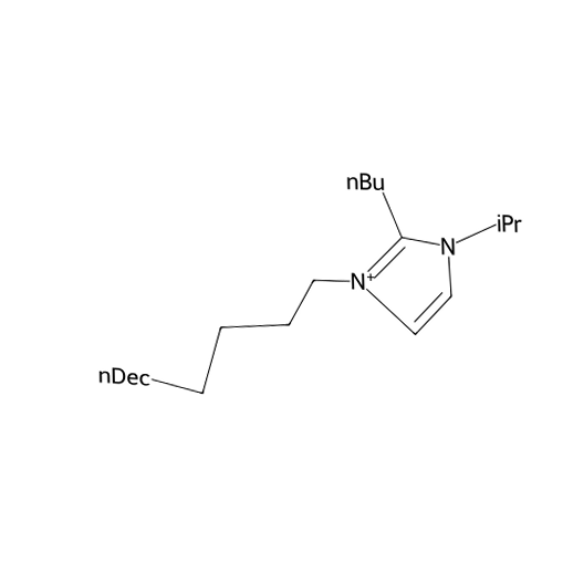 CCCCCCCCCCCCCC[n+]1ccn(C(C)C)c1CCCC